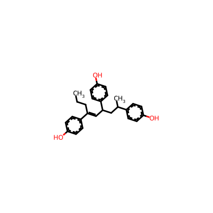 CCCC(=CC(CC(C)c1ccc(O)cc1)c1ccc(O)cc1)c1ccc(O)cc1